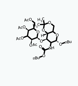 CCCCOC(=O)NC1[C@@H](OCCCC)OC2COC(C)(C)O[C@H]2[C@@H]1O[C@@H]1OC(COC(C)=O)[C@H](OC(C)=O)C(OC(C)=O)[C@@H]1OC(C)=O